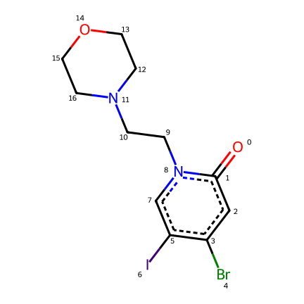 O=c1cc(Br)c(I)cn1CCN1CCOCC1